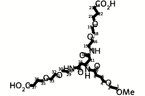 COCCOCCCC(=O)NC(CC(=O)NCCOCCOCCCC(=O)O)CC(=O)NCCOCCOCCCC(=O)O